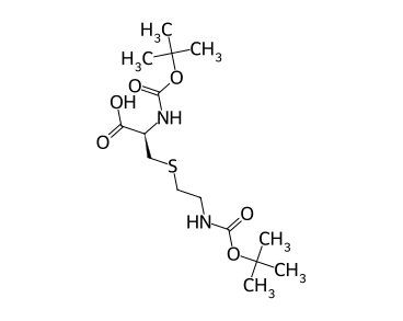 CC(C)(C)OC(=O)NCCSC[C@H](NC(=O)OC(C)(C)C)C(=O)O